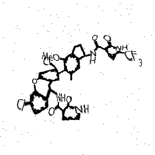 COc1c2c(cc(C)c1-c1cc3c(cc1Cl)Oc1cc(Cl)ccc1C3NC(=O)c1ccc[nH]c1=O)C(NC(=O)c1ccc(C(F)(F)F)[nH]c1=O)CC2